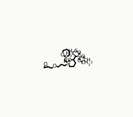 CO[Si](OC)(OC)C(C)C1CCC[Si](CCCOCC2CO2)(C[SiH]2CCCCO2)O1